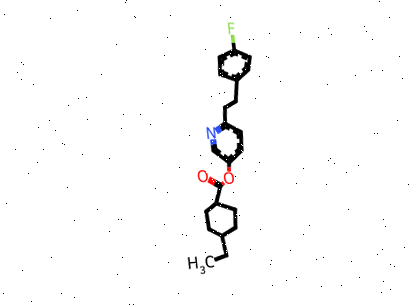 CCC1CCC(C(=O)Oc2ccc(CCc3ccc(F)cc3)nc2)CC1